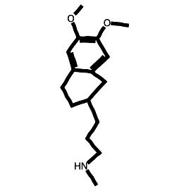 CNCCCC1CCc2cc(OC)c(OC)cc2C1